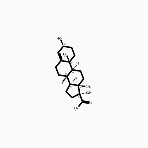 C[C@]12CC[C@H](O)C=C1CC[C@@H]1[C@@H]2CC[C@@]2(C)[C@H]1CC[C@]2(O)C(N)=O